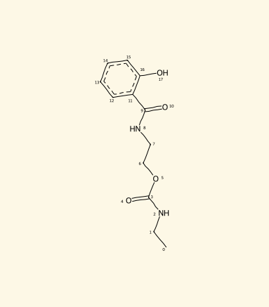 CCNC(=O)OCCNC(=O)c1ccccc1O